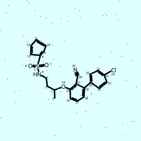 CC(CCNS(=O)(=O)c1ccccc1)Oc1cccc(-c2ccc(Cl)cc2)c1C#N